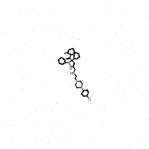 Cc1ccccc1C(=O)C1(c2ccccc2)C=C(CNCCN2CCN(c3ccc(Cl)cc3)CC2)NN1c1ccccc1